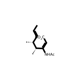 CC=C[C@@H](C)[C@@H](C)C(=CC(=O)O)NC(C)=O